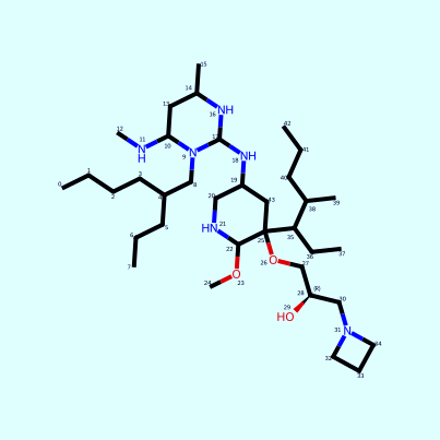 CCCCC(CCC)CN1C(NC)CC(C)NC1NC1CNC(OC)C(OC[C@H](O)CN2CCC2)(C(CC)C(C)CCC)C1